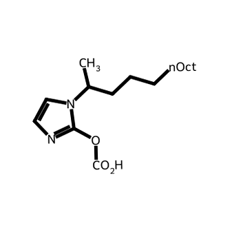 CCCCCCCCCCCC(C)n1ccnc1OC(=O)O